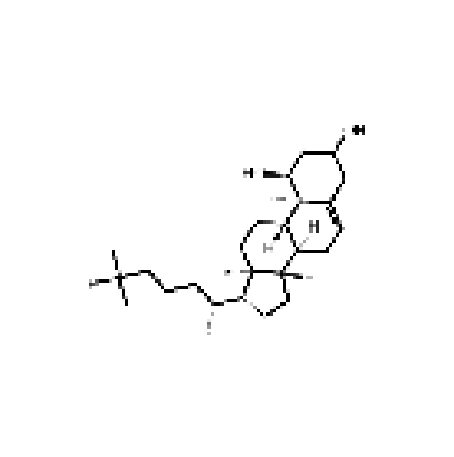 C[C@H](CCCC(C)(C)F)[C@H]1CC[C@H]2[C@@H]3CC=C4CC(O)C[C@H](O)[C@]4(C)[C@H]3CC[C@]12C